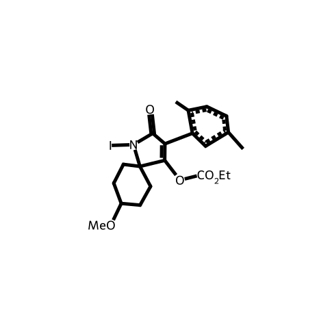 CCOC(=O)OC1=C(c2cc(C)ccc2C)C(=O)N(I)C12CCC(OC)CC2